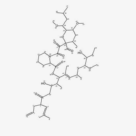 C=CCC(C=C(C)C)C(=O)CC(O)C(C)C(OC(=O)C1CCCCN1C(=O)C(=O)C1(N=O)OC(C(CC(C)C)OC)C(OC)CC1C)/C(C)=C/C(C)CC(OC)C(O)CC